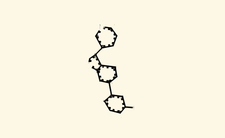 Fc1cccc(-c2ccc3c(-c4cccnc4)coc3c2)c1